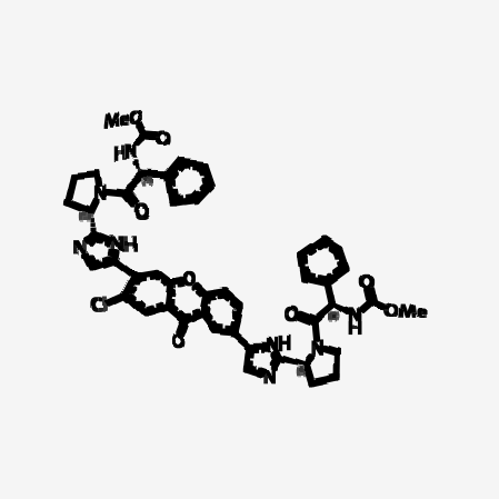 COC(=O)N[C@@H](C(=O)N1CCC[C@H]1c1ncc(-c2ccc3oc4cc(-c5cnc([C@@H]6CCCN6C(=O)[C@H](NC(=O)OC)c6ccccc6)[nH]5)c(Cl)cc4c(=O)c3c2)[nH]1)c1ccccc1